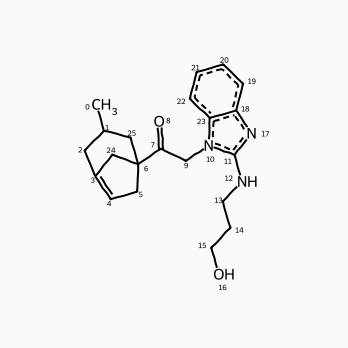 CC1CC2=CCC(C(=O)Cn3c(NCCCO)nc4ccccc43)(C2)C1